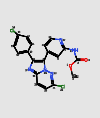 CC(C)(C)OC(=O)Nc1cc(-c2c(-c3ccc(Cl)cc3)nc3ccc(Cl)nn23)ccn1